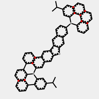 CC(C)c1ccc(-c2ccccc2)c(N(c2ccc3cc4c(cc3c2)oc2cc3cc(N(c5ccccc5-c5ccccc5)c5cc(C(C)C)ccc5-c5ccccc5)ccc3cc24)c2ccccc2-c2ccccc2)c1